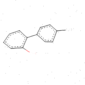 CC(=O)Nc1ccc(-c2[c]cccc2O)cc1